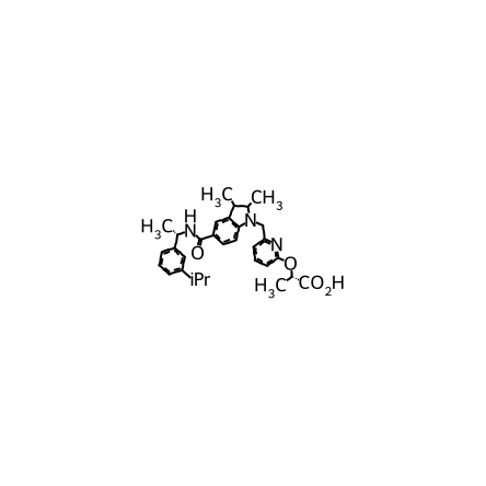 CC(C)c1cccc([C@H](C)NC(=O)c2ccc3c(c2)C(C)C(C)N3Cc2cccc(O[C@@H](C)C(=O)O)n2)c1